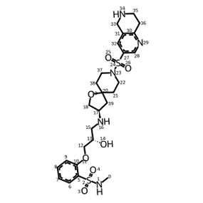 CNS(=O)(=O)c1ccccc1OC[C@@H](O)CN[C@H]1COC2(CCN(S(=O)(=O)c3cnc4c(c3)CNCC4)CC2)C1